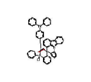 O=P1(c2ccccc2)c2ccccc2C2(c3ccccc3-n3c4ccccc4c4cccc2c43)c2cc(-c3ccc(N(c4ccccc4)c4ccccc4)cc3)ccc21